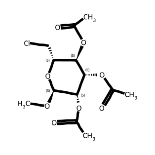 CO[C@H]1O[C@H](CCl)[C@@H](OC(C)=O)[C@H](OC(C)=O)[C@@H]1OC(C)=O